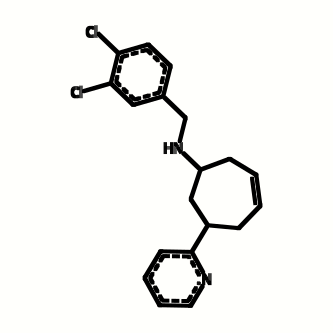 Clc1ccc(CNC2CC=CCC(c3ccccn3)C2)cc1Cl